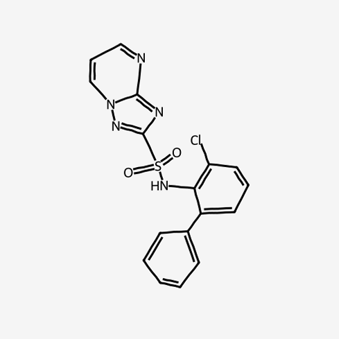 O=S(=O)(Nc1c(Cl)cccc1-c1ccccc1)c1nc2ncccn2n1